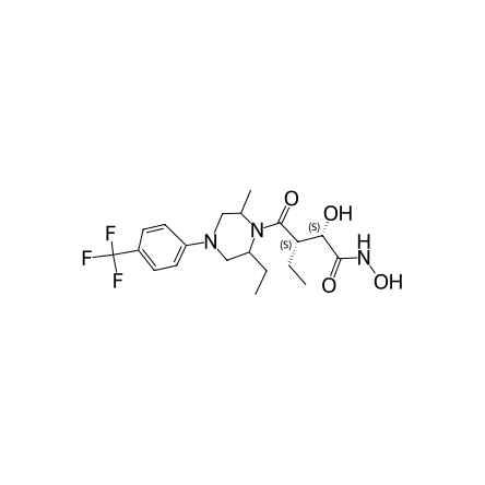 CCC1CN(c2ccc(C(F)(F)F)cc2)CC(C)N1C(=O)[C@@H](CC)[C@H](O)C(=O)NO